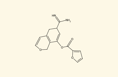 N=C(N)C1C=C(OC(=O)c2ccco2)C2=C(C=COC2)C1